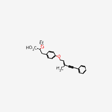 CCO[C@@H](Cc1ccc(OC/C=C(\C)C#Cc2ccccc2)cc1)C(=O)O